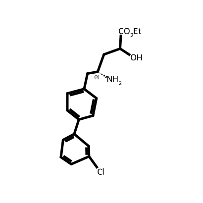 CCOC(=O)C(O)C[C@H](N)Cc1ccc(-c2cccc(Cl)c2)cc1